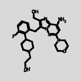 Nc1cc(N2CCOCC2)nn2c(Cc3cccc(F)c3C3CCN(CCO)CC3)c(CO)nc12